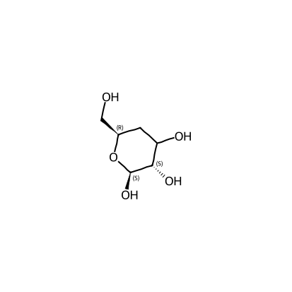 OC[C@H]1CC(O)[C@H](O)[C@@H](O)O1